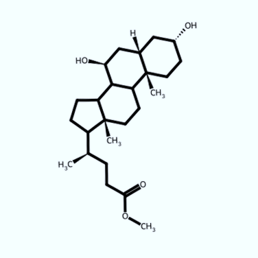 COC(=O)CC[C@@H](C)C1CCC2C3C(CC[C@@]21C)[C@@]1(C)CC[C@@H](O)C[C@H]1C[C@@H]3O